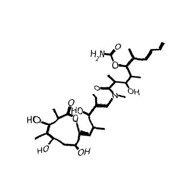 C=CC=CC(C)C(OC(N)=O)C(C)C(O)C(C)C(=O)N(C)CC(C)C(O)C(C)C=C1OC(=O)C(C)C(O)C(C)C(O)CC1O